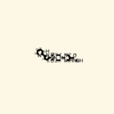 O=C(NO)c1cnc(N2CCN(S(=O)(=O)c3ccc(-c4ccccn4)[nH]3)CC2)nc1